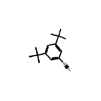 [C-]#[N+]c1cc(C(C)(C)C)cc(C(C)(C)C)c1